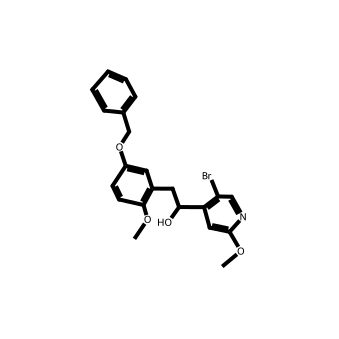 COc1cc(C(O)Cc2cc(OCc3ccccc3)ccc2OC)c(Br)cn1